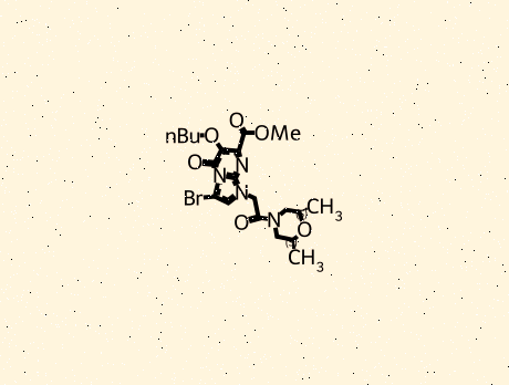 CCCCOc1c(C(=O)OC)nc2n(CC(=O)N3C[C@H](C)O[C@@H](C)C3)cc(Br)n2c1=O